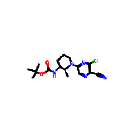 C[C@H]1[C@@H](NC(=O)OC(C)(C)C)CCCN1c1cnc(C#N)c(Cl)n1